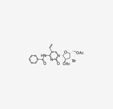 C=Cc1cn([C@@H]2O[C@H](COC(C)=O)[C@H](Br)[C@H]2OC(C)=O)c(=O)nc1NC(=O)c1ccccc1